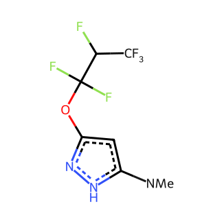 CNc1cc(OC(F)(F)C(F)C(F)(F)F)n[nH]1